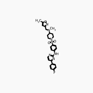 Cc1cc(CN(C)C2CCN(S(=O)(=O)c3ccc(Nc4nccc(-c5ccc(F)cc5)n4)cc3)CC2)no1